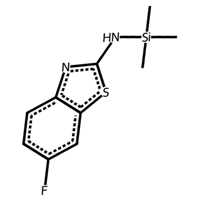 C[Si](C)(C)Nc1nc2ccc(F)cc2s1